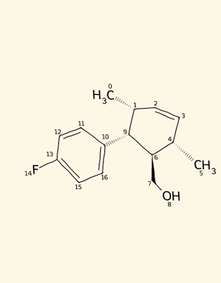 C[C@@H]1C=C[C@H](C)[C@@H](CO)[C@@H]1c1ccc(F)cc1